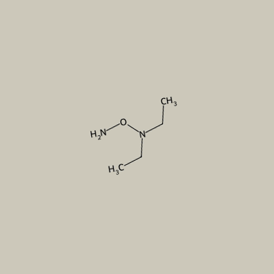 CCN(CC)ON